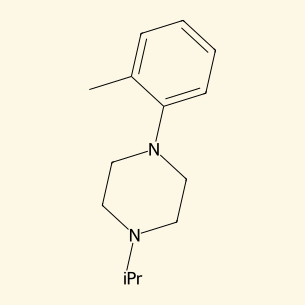 Cc1ccccc1N1CCN(C(C)C)CC1